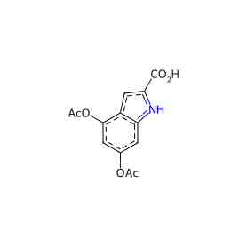 CC(=O)Oc1cc(OC(C)=O)c2cc(C(=O)O)[nH]c2c1